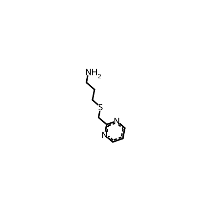 NCCCSCc1ncccn1